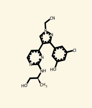 C[C@@H](CO)Nc1nccc(-c2cn(CC#N)nc2-c2cc(O)cc(Cl)c2)n1